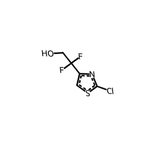 OCC(F)(F)c1csc(Cl)n1